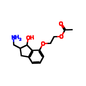 CC(=O)OCCOc1cccc2c1C(O)C(CN)C2